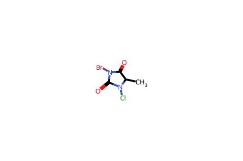 CC1C(=O)N(Br)C(=O)N1Cl